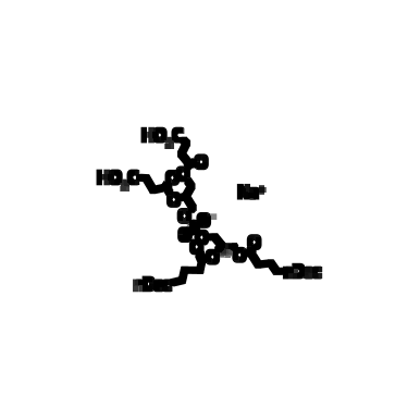 CCCCCCCCCCCCCC(=O)OC[C@H](COP(=O)([O-])OCC(COC(=O)CCC(=O)O)OC(=O)CCC(=O)O)OC(=O)CCCCCCCCCCCCC.[Na+]